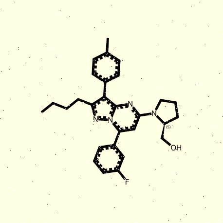 CCCCc1nn2c(-c3cccc(F)c3)cc(N3CCC[C@H]3CO)nc2c1-c1ccc(C)cc1